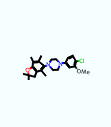 COc1cc(N2CCN(c3c(C)c(C)c4c(c3C)CC(C)(C)O4)CC2)ccc1Cl